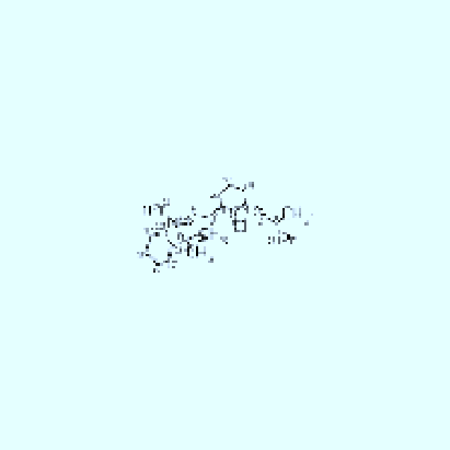 [CH2]C(C=CC1=C(Cl)C(=CC=C2N(CCC)c3ccccc3C2(C)C)CCC1)C(C)C